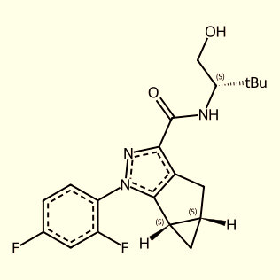 CC(C)(C)[C@@H](CO)NC(=O)c1nn(-c2ccc(F)cc2F)c2c1C[C@@H]1C[C@H]21